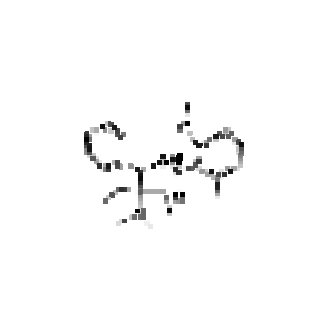 CCC(CC)(C(NC(=O)c1c(C)cccc1OC)c1ccccc1)N(C)C